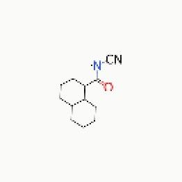 N#C[N]C(=O)C1CCCC2CCCCC21